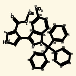 CC(C)(C)OC(=O)c1n[nH]cc1-c1nn(C(c2ccccc2)(c2ccccc2)c2ccccc2)c2ccc([N+](=O)[O-])cc12